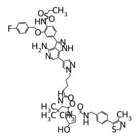 CCS(=O)(=O)Nc1ccc(-c2n[nH]c3c(-c4cnn(CCCCC(=O)N[C@H](C(=O)N5C[C@H](O)C[C@H]5C(=O)NCc5ccc(-c6scnc6C)cc5)C(C)(C)C)c4)cnc(N)c23)cc1OCc1ccc(F)cc1